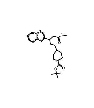 COC(=O)CC(CCC1CCN(C(=O)OC(C)(C)C)CC1)c1cnc2ccccc2c1